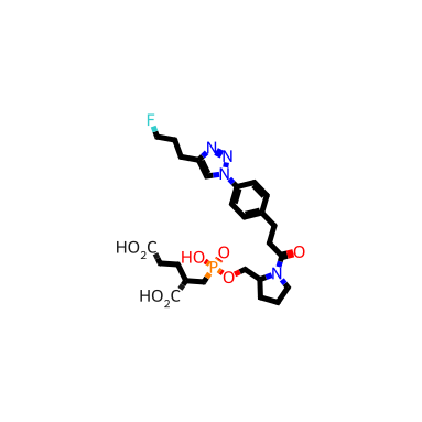 O=C(O)CCC(CP(=O)(O)OCC1CCCN1C(=O)CCc1ccc(-n2cc(CCCF)nn2)cc1)C(=O)O